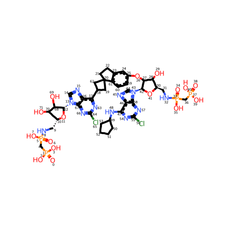 O=P(O)(O)CP(=O)(O)NC[C@H]1O[C@@H](n2cnc3c(C4CC5(CCc6cc(OC7C(O)[C@@H](CNP(=O)(O)CP(=O)(O)O)O[C@H]7n7cnc8c(NC9CCCC9)nc(Cl)nc87)ccc65)C4)nc(Cl)nc32)C(O)C1O